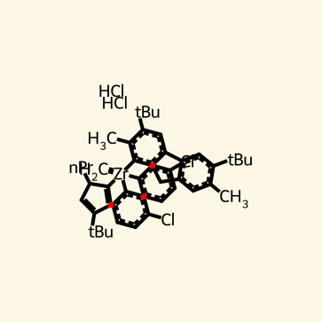 Cl.Cl.[CH2]=[Zr]([C]1=CC(C(C)(C)C)=CC1CCC)([c]1cccc(Cl)c1)([c]1cccc(Cl)c1)[c]1c(C)c(C(C)(C)C)cc2c1Cc1cc(C)c(C(C)(C)C)cc1-2